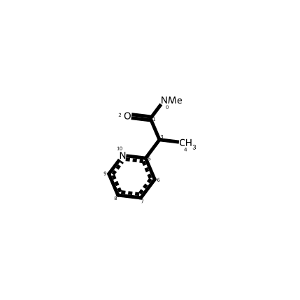 CNC(=O)C(C)c1ccccn1